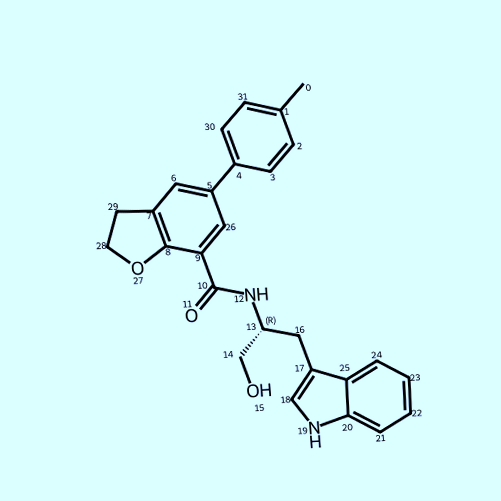 Cc1ccc(-c2cc3c(c(C(=O)N[C@@H](CO)Cc4c[nH]c5ccccc45)c2)OCC3)cc1